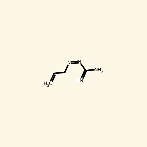 C=CC/N=N\C(=N)N